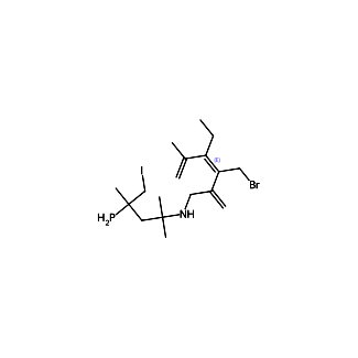 C=C(C)/C(CC)=C(/CBr)C(=C)CNC(C)(C)CC(C)(P)CI